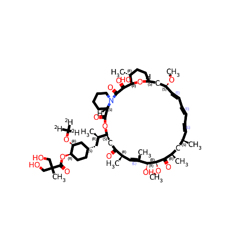 [2H]C([2H])([2H])O[C@@H]1C[C@H](C[C@@H](C)[C@@H]2CC(=O)[C@H](C)/C=C(\C)[C@@H](O)[C@@H](OC)C(=O)[C@H](C)C[C@H](C)/C=C/C=C/C=C/[C@@H](OC)C[C@@H]3CC[C@@H](C)[C@@](O)(O3)C(=O)C(=O)N3CCCC[C@H]3C(=O)O2)CC[C@H]1OC(=O)C(C)(CO)CO